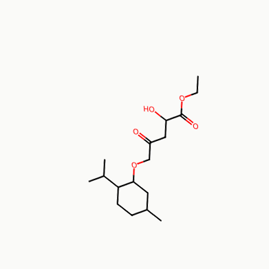 CCOC(=O)C(O)CC(=O)COC1CC(C)CCC1C(C)C